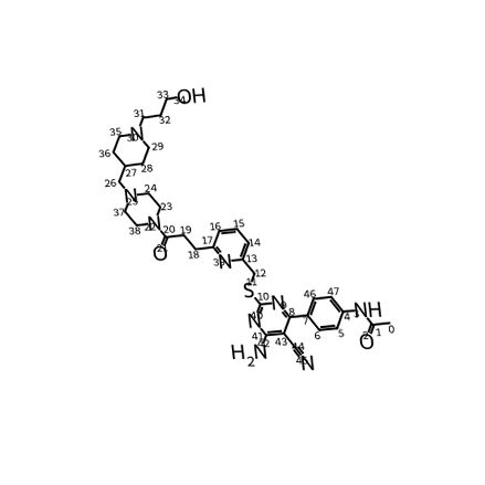 CC(=O)Nc1ccc(-c2nc(SCc3cccc(CCC(=O)N4CCN(CC5CCN(CCCO)CC5)CC4)n3)nc(N)c2C#N)cc1